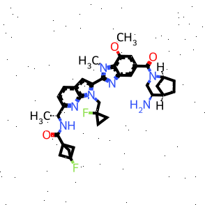 COc1cc(C(=O)N2C[C@H](N)[C@@H]3CC[C@H]2C3)cc2nc(-c3cc4ccc([C@@H](C)NC(=O)C56CC(F)(C5)C6)nc4n3CC3(F)CC3)n(C)c12